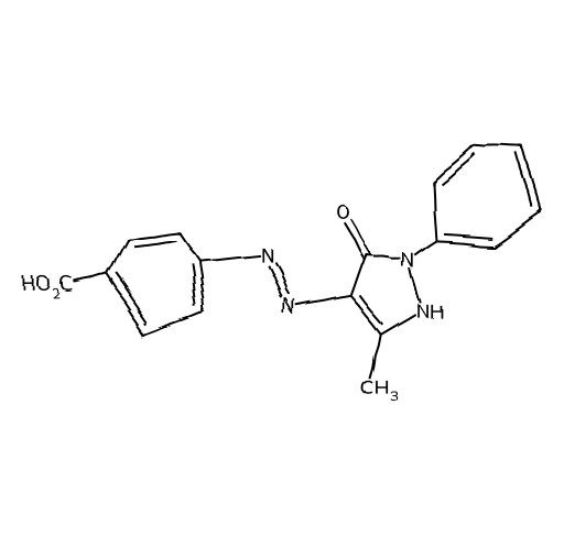 Cc1[nH]n(-c2ccccc2)c(=O)c1N=Nc1ccc(C(=O)O)cc1